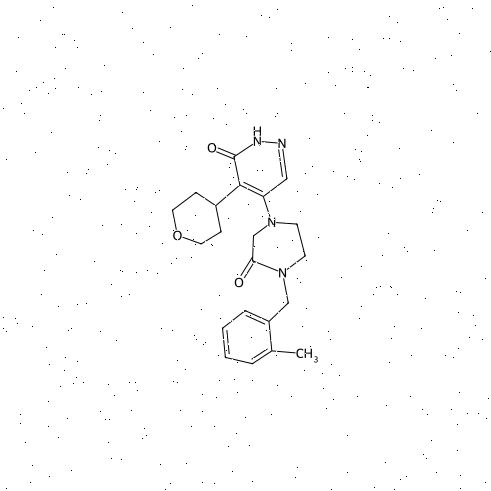 Cc1ccccc1CN1CCN(c2cn[nH]c(=O)c2C2CCOCC2)CC1=O